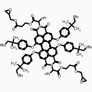 CCCC(C(=O)OCCC(=O)OCC1CO1)N1C(=O)c2cc(Oc3ccc(C(C)(C)CC(C)(C)C)cc3)c3c4c(Oc5ccc(C(C)(C)CC(C)(C)C)cc5)cc5c6c(cc(Oc7ccc(C(C)(C)CC(C)(C)C)cc7)c(c7c(Oc8ccc(C(C)(C)CC(C)(C)C)cc8)cc(c2c37)C1=O)c64)C(=O)N(C(CCC)C(=O)OCCC(=O)OCC1CO1)C5=O